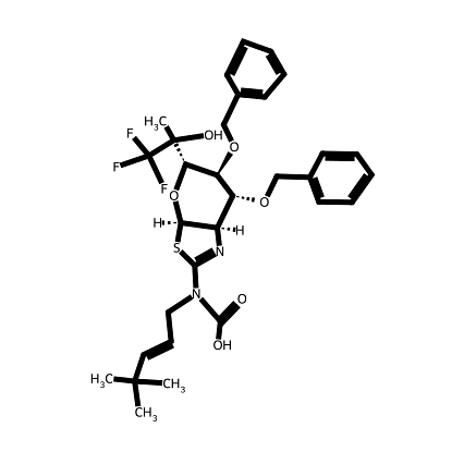 CC(C)(C)C=CCN(C(=O)O)C1=N[C@@H]2[C@@H](OCc3ccccc3)[C@H](OCc3ccccc3)[C@@H](C(C)(O)C(F)(F)F)O[C@@H]2S1